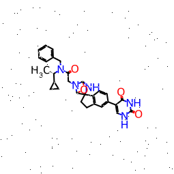 C[C@@H](C1CC1)N(Cc1ccccc1)C(=O)CN1C2NC3(CCc4cc(-c5c[nH]c(=O)[nH]c5=O)ccc43)C1O2